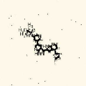 CC(C)(C)C(=O)Nc1cncc(-c2cnc3[nH]nc(-c4cc5c(-c6ccc(F)s6)ccnc5[nH]4)c3c2)c1